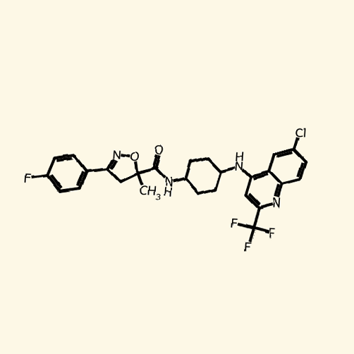 CC1(C(=O)NC2CCC(Nc3cc(C(F)(F)F)nc4ccc(Cl)cc34)CC2)CC(c2ccc(F)cc2)=NO1